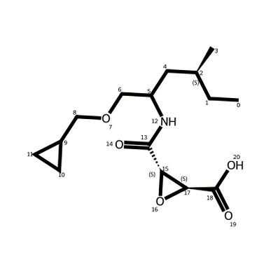 CC[C@H](C)CC(COCC1CC1)NC(=O)[C@H]1O[C@@H]1C(=O)O